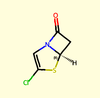 O=C1C[C@H]2SC(Cl)=CN12